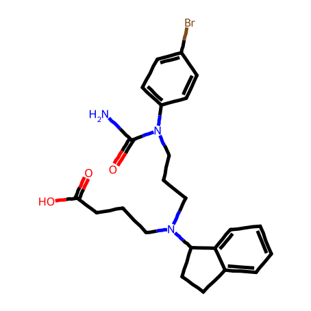 NC(=O)N(CCCN(CCCC(=O)O)C1CCc2ccccc21)c1ccc(Br)cc1